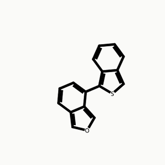 c1cc(-c2scc3ccccc23)c2cocc2c1